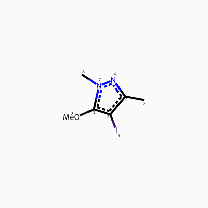 COc1c(I)c(C)nn1C